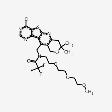 COCCOCCOCCN(Cc1c2c(nc3sc4c(Cl)ncnc4c13)CC(C)(C)OC2)C(=O)C(F)(F)F